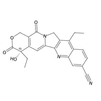 CCc1c2c(nc3cc(C#N)ccc13)-c1cc3c(c(=O)n1C2)COC(=O)[C@]3(O)CC